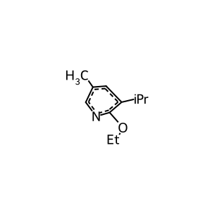 CCOc1ncc(C)cc1C(C)C